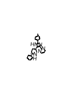 Cc1ccc(-c2nc(-c3ncccn3)c([C@@H]3CC[C@H](c4ccccc4)NC3)[nH]2)cc1